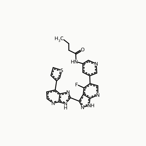 CCCC(=O)Nc1cncc(-c2cnc3[nH]nc(-c4nc5c(-c6ccsc6)ccnc5[nH]4)c3c2F)c1